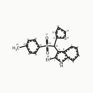 CCc1[nH]c2ccccc2c1C(c1cccs1)S(=O)(=O)c1ccc(C)cc1